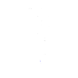 COc1cccc(-c2ccc(CO[C@H]3C[C@H](N=C=S)C3)cc2)c1